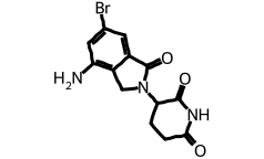 Nc1cc(Br)cc2c1CN(C1CCC(=O)NC1=O)C2=O